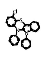 Clc1cccc2c1Sc1c(n(-c3ccccc3)c3ccccc13)N2c1ccccc1